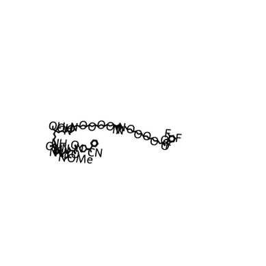 COc1cnc(-n2cnc(C(=O)NCCCC(CO)(CO)CCCN3CCN(CCOCCOCCOCCOCc4cn(CCOCCOCCOCCOCCC(=O)Oc5c(F)cc(F)cc5F)nn4)CC3)n2)c2[nH]cc(C(=O)C(=O)N3CCC(=C(C#N)c4ccccc4)CC3)c12